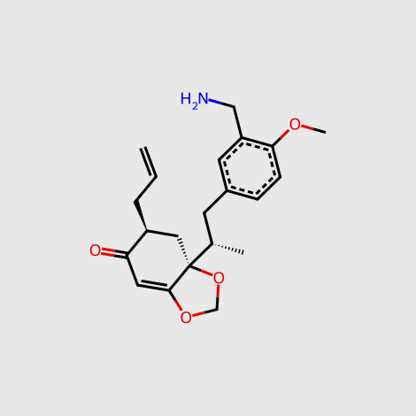 C=CC[C@H]1C[C@]2([C@@H](C)Cc3ccc(OC)c(CN)c3)OCOC2=CC1=O